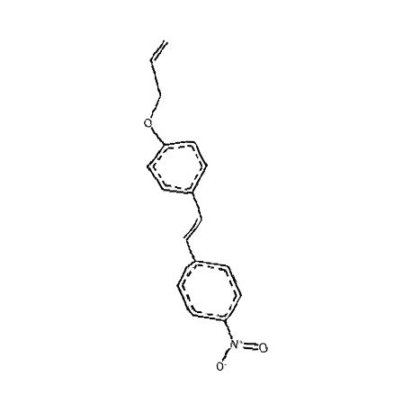 C=CCOc1ccc(C=Cc2ccc([N+](=O)[O-])cc2)cc1